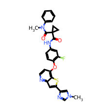 CN(C(=O)C1(C(=O)Nc2ccc(Oc3ccnc4cc(-c5cn(C)cn5)sc34)c(F)c2)CC1)c1ccccc1